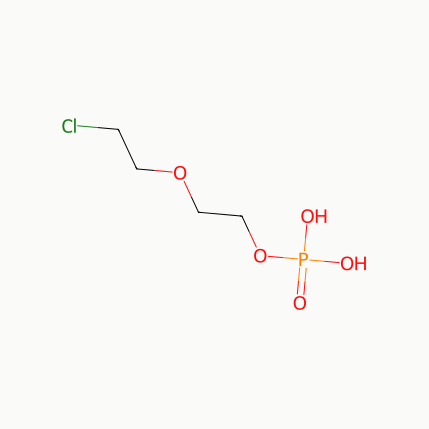 O=P(O)(O)OCCOCCCl